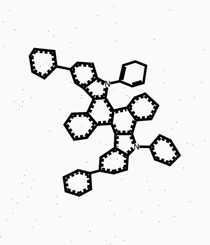 C1=CC(n2c3ccc(-c4ccccc4)cc3c3c4ccccc4c4c(c5ccccc5c5c4c4cc(-c6ccccc6)ccc4n5-c4ccccc4)c32)=CCC1